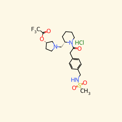 CS(=O)(=O)NCc1ccc(CC(=O)N2CCCC[C@H]2CN2CC[C@H](OC(=O)C(F)(F)F)C2)cc1.Cl